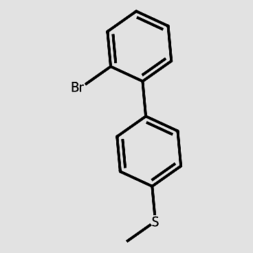 CSc1ccc(-c2ccccc2Br)cc1